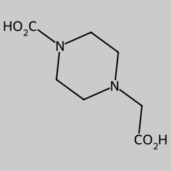 O=C(O)CN1CCN(C(=O)O)CC1